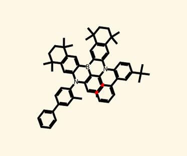 Cc1cc2c3c(c1)N(c1ccc(C(C)(C)C)cc1-c1ccccc1)c1cc4c(cc1B3c1cc3c(cc1N2c1ccc(-c2ccccc2)cc1C)C(C)(C)CCC3(C)C)C(C)(C)CCC4(C)C